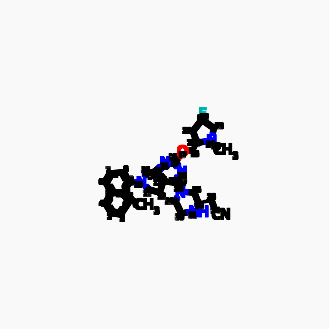 Cc1cccc2cccc(N3CCc4c(nc(OC[C@H]5C[C@@H](F)CN5C)nc4N4CCN[C@@H](CC#N)C4)C3)c12